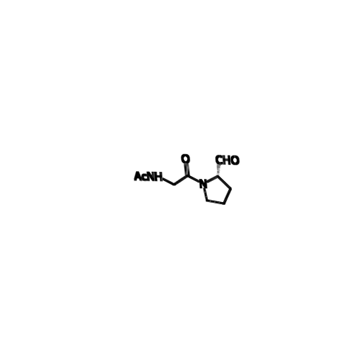 CC(=O)NCC(=O)N1CCC[C@H]1C=O